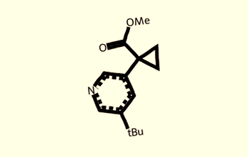 COC(=O)C1(c2cncc(C(C)(C)C)c2)CC1